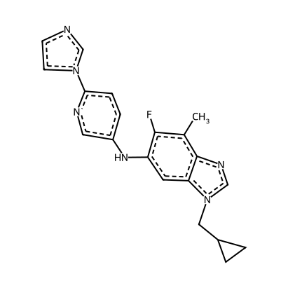 Cc1c(F)c(Nc2ccc(-n3ccnc3)nc2)cc2c1ncn2CC1CC1